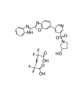 O=C(O)C(F)(F)F.O=C(O)C(F)(F)F.O=S(=O)(c1cncc(-c2ccc3nc(-c4nc5ccccc5[nH]4)oc3c2)c1)N1CCC(O)C1